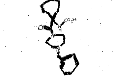 O=C(O)NC1(C(=O)N2CCN(c3ccccc3)CC2)CCCCC1